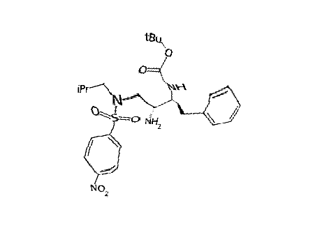 CC(C)CN(C[C@@H](N)[C@H](Cc1ccccc1)NC(=O)OC(C)(C)C)S(=O)(=O)c1ccc([N+](=O)[O-])cc1